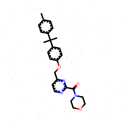 Cc1ccc(C(C)(C)c2ccc(OCc3ccnc(C(=O)N4CCOCC4)n3)cc2)cc1